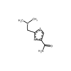 CN(C)Cc1nc(C(N)=O)cs1